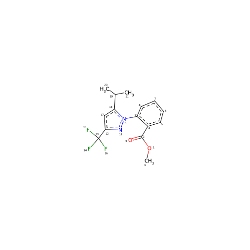 COC(=O)c1ccccc1-n1nc(C(F)(F)F)cc1C(C)C